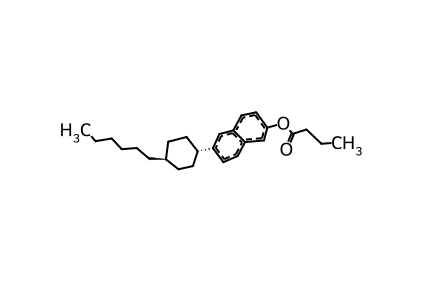 CCCCCC[C@H]1CC[C@H](c2ccc3cc(OC(=O)CCC)ccc3c2)CC1